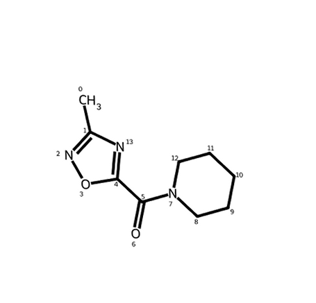 Cc1noc(C(=O)N2CCCCC2)n1